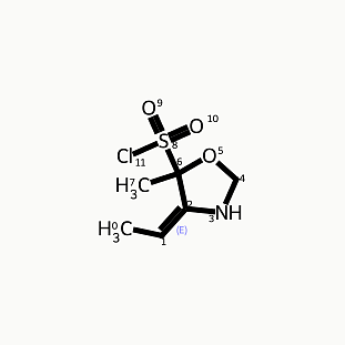 C/C=C1/NCOC1(C)S(=O)(=O)Cl